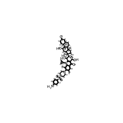 C[C@@H]1C[C@H]2[C@@H]3CCC4=CC(=O)C=C[C@]4(C)C3(F)[C@@H](O)C[C@]2(C)[C@@]1(O)C(=O)C(O)c1c(C(=O)O)c(=O)c2cc(F)c(N3CCN(S(=O)(=O)c4ccc(N)cc4)CC3)c(F)c2n1C1CC1